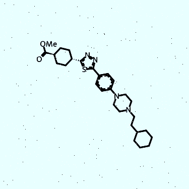 COC(=O)[C@H]1CC[C@H](c2nnc(-c3ccc(N4CCN(CCC5CCCCC5)CC4)cc3)s2)CC1